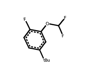 CC(C)(C)c1ccc(F)c(OC(F)F)c1